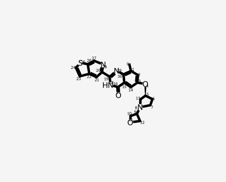 Cc1cc(O[C@H]2CCN(C3COC3)C2)cc2c(=O)[nH]c(-c3cc4ccsc4cn3)nc12